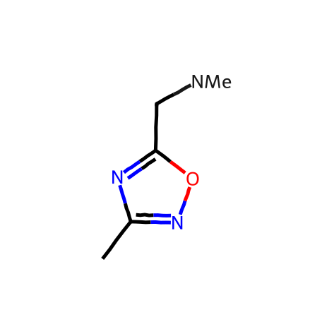 CNCc1nc(C)no1